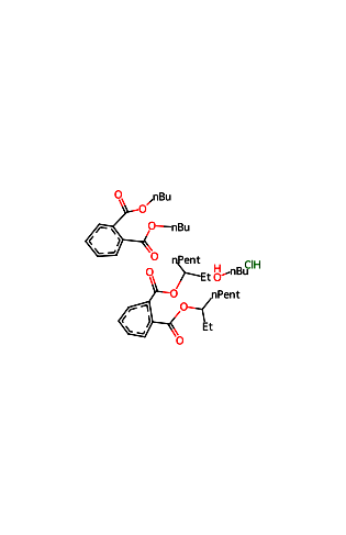 CCCCCC(CC)OC(=O)c1ccccc1C(=O)OC(CC)CCCCC.CCCCO.CCCCOC(=O)c1ccccc1C(=O)OCCCC.Cl